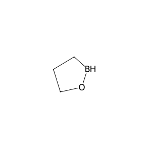 B1CCCO1